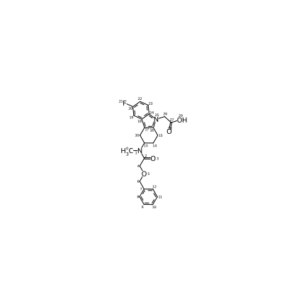 CN(C(=O)COCc1ccccc1)C1CCc2c(c3cc(F)ccc3n2CC(=O)O)C1